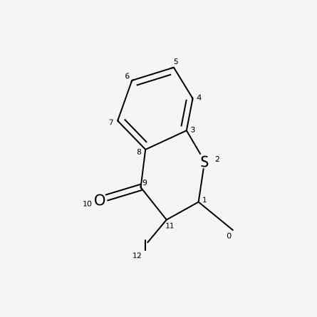 CC1Sc2ccccc2C(=O)C1I